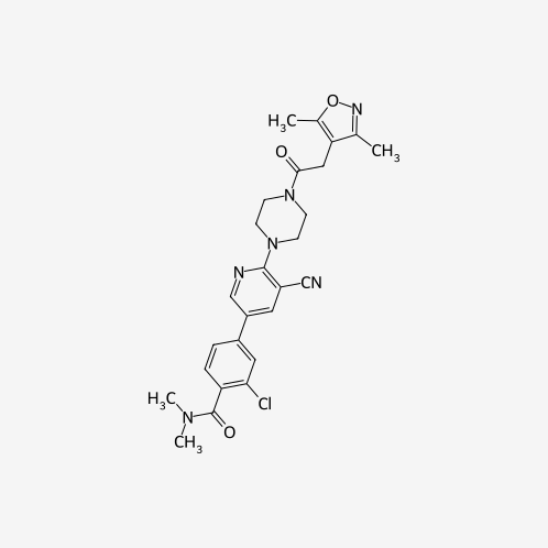 Cc1noc(C)c1CC(=O)N1CCN(c2ncc(-c3ccc(C(=O)N(C)C)c(Cl)c3)cc2C#N)CC1